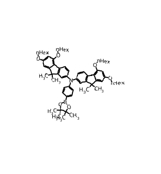 CCCCCCOc1cc(OCCCCCC)c2c(c1)C(C)(C)c1cc(N(c3ccc(B4OC(C)(C)C(C)(C)O4)cc3)c3ccc4c(c3)C(C)(C)c3cc(OCCCCCC)cc(OCCCCCC)c3-4)ccc1-2